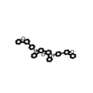 c1ccc2c(c1)oc1ccc(-c3ccc(-n4c5ccccc5c5c6oc7c(ccc8c7c7ccccc7n8-c7ccc(-c8ccc9oc%10ccccc%10c9c8)cc7)c6ccc54)cc3)cc12